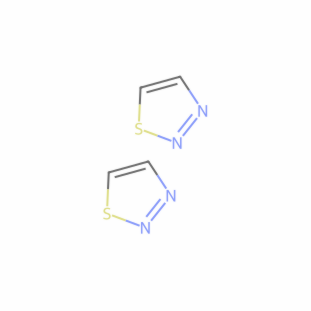 c1csnn1.c1csnn1